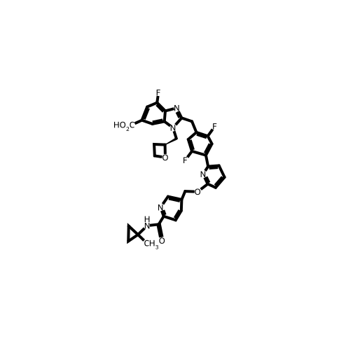 CC1(NC(=O)c2ccc(COc3cccc(-c4cc(F)c(Cc5nc6c(F)cc(C(=O)O)cc6n5C[C@@H]5CCO5)cc4F)n3)cn2)CC1